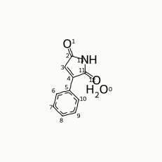 O.O=C1C=C(c2ccccc2)C(=O)N1